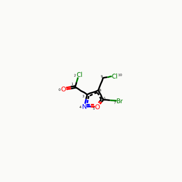 O=C(Cl)c1noc(Br)c1CCl